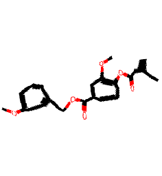 C=C(C)C(=O)Oc1ccc(C(=O)OCc2cccc(OC)c2)cc1OC